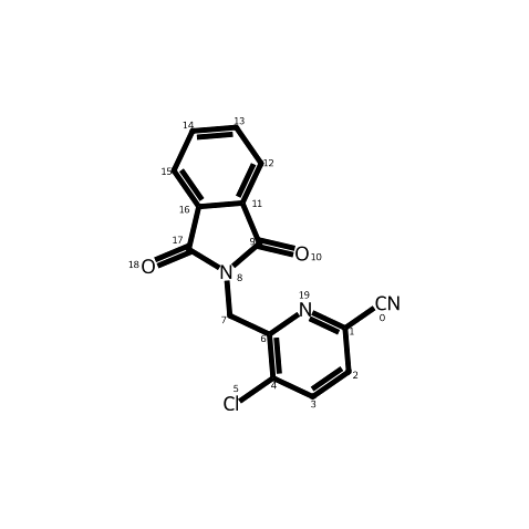 N#Cc1ccc(Cl)c(CN2C(=O)c3ccccc3C2=O)n1